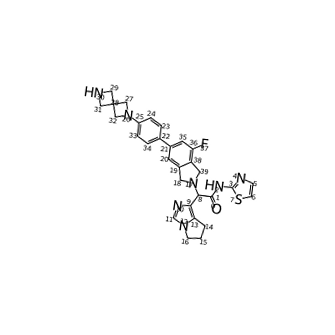 O=C(Nc1nccs1)C(c1ncn2c1CCC2)N1Cc2cc(-c3ccc(N4CC5(CNC5)C4)cc3)cc(F)c2C1